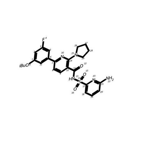 CC(C)COc1cc(F)cc(-c2ccc(C(=O)NS(=O)(=O)c3cccc(N)n3)c(N3CCCC3)n2)c1